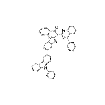 O=c1c2ccccc2n2c3ccc(-c4ccc5c(c4)c4ccccc4n5-c4ccccc4)cc3nc2n1-c1nc(-c2ccccc2)c2ccccc2n1